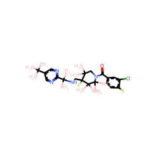 BC(B)(B)c1cnc(C(B)(B)NCC2(F)C(B)(B)CN(C(=O)c3ccc(F)c(Cl)c3)C(B)(B)C2(B)B)nc1